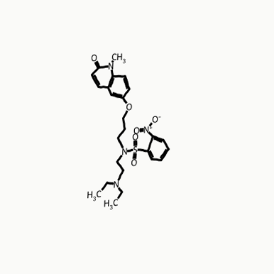 CCN(CC)CCN(CCCOc1ccc2c(ccc(=O)n2C)c1)S(=O)(=O)c1ccccc1[N+](=O)[O-]